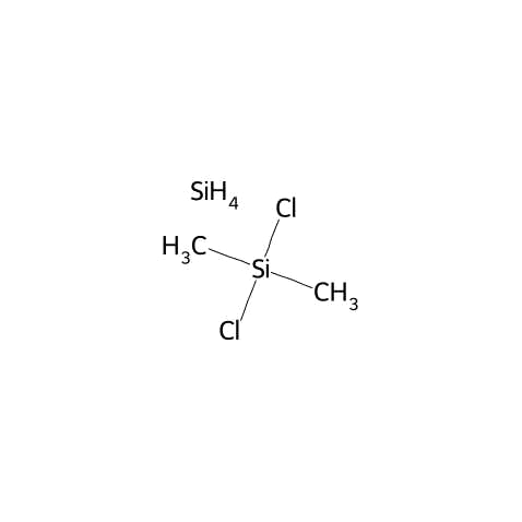 C[Si](C)(Cl)Cl.[SiH4]